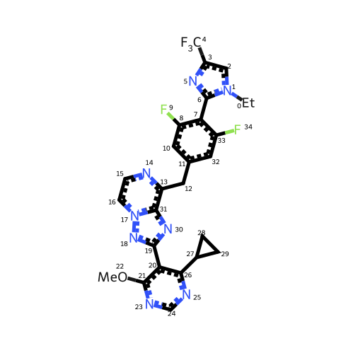 CCn1cc(C(F)(F)F)nc1-c1c(F)cc(Cc2nccn3nc(-c4c(OC)ncnc4C4CC4)nc23)cc1F